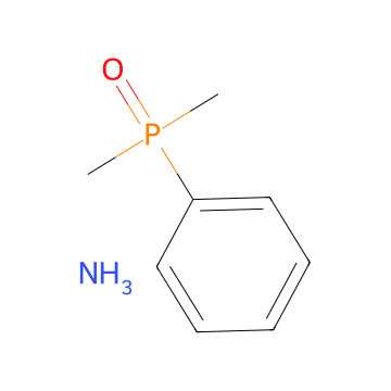 CP(C)(=O)c1ccccc1.N